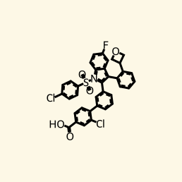 O=C(O)c1ccc(-c2cccc(-c3c(-c4ccccc4C4COC4)c4cc(F)ccc4n3S(=O)(=O)c3ccc(Cl)cc3)c2)c(Cl)c1